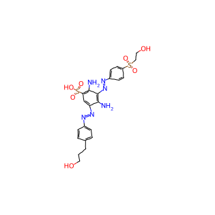 Nc1c(/N=N/c2ccc(CCCO)cc2)cc(S(=O)(=O)O)c(N)c1/N=N/c1ccc(S(=O)(=O)CCO)cc1